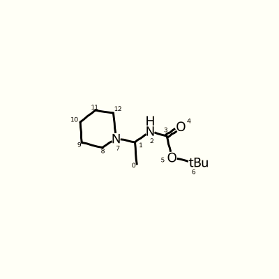 CC(NC(=O)OC(C)(C)C)N1CCCCC1